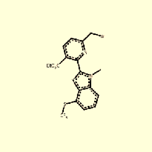 CCOC(=O)c1ccc(CBr)nc1-c1nc2c(SC(F)(F)F)cccc2n1C